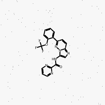 O=C(Nc1cnc2ccc(-c3ccccc3OC(F)(F)F)nn12)c1ncccn1